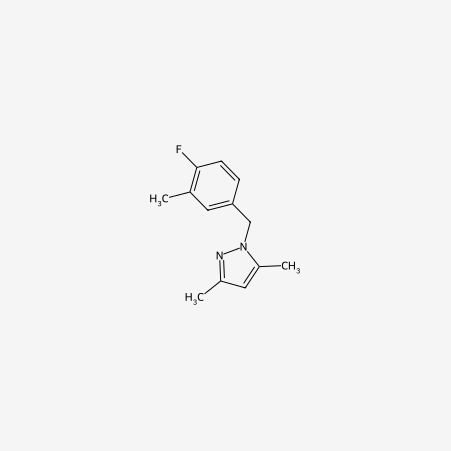 Cc1cc(C)n(Cc2ccc(F)c(C)c2)n1